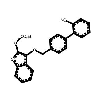 CCOC(=O)Oc1sc2ccccc2c1OCc1ccc(-c2ccccc2C#N)cc1